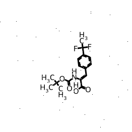 CC(C)(C)OC(=O)NC(=Cc1ccc(C(C)(F)F)cc1)C(=O)O